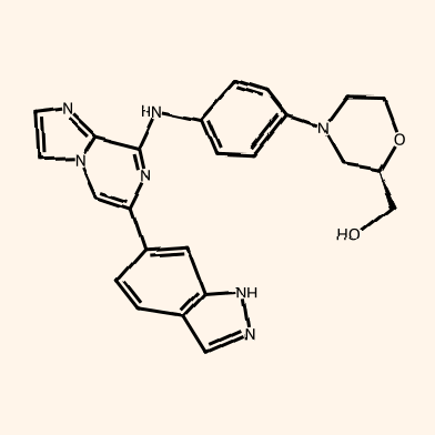 OC[C@H]1CN(c2ccc(Nc3nc(-c4ccc5cn[nH]c5c4)cn4ccnc34)cc2)CCO1